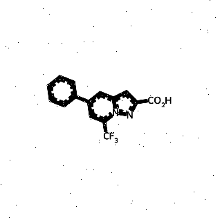 O=C(O)c1cc2cc(-c3ccccc3)cc(C(F)(F)F)n2n1